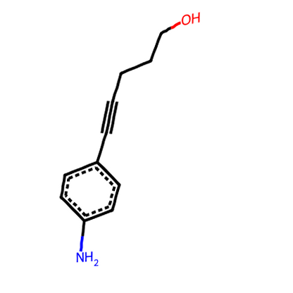 Nc1ccc(C#CCCCO)cc1